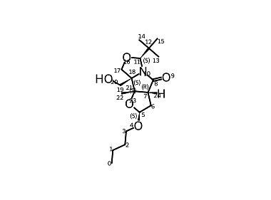 CCCCO[C@@H]1C[C@H]2C(=O)N3[C@H](C(C)(C)C)OC[C@@]3(CO)[C@@]2(C)O1